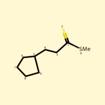 CSC(=S)CCC1CCCC1